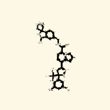 CCC1(CC)OB(O)c2cc(CNC(=O)c3ccc(C4=NOC(c5cc(Cl)cc(Cl)c5)(C(F)(F)F)C4)c4cccn34)ccc21